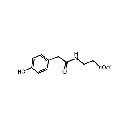 CCCCCCCCCCNC(=O)Cc1ccc(O)cc1